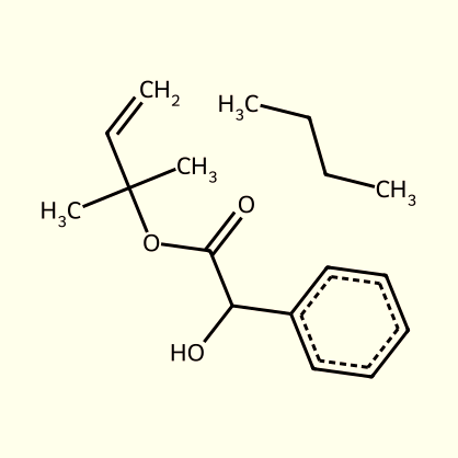 C=CC(C)(C)OC(=O)C(O)c1ccccc1.CCCC